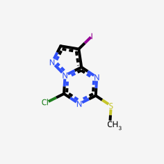 CSc1nc(Cl)n2ncc(I)c2n1